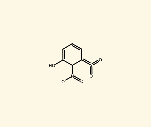 O=[N+]([O-])C1C(O)=CC=CC1=S(=O)=O